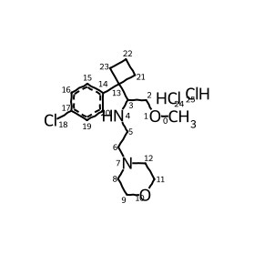 COCC(NCCN1CCOCC1)C1(c2ccc(Cl)cc2)CCC1.Cl.Cl